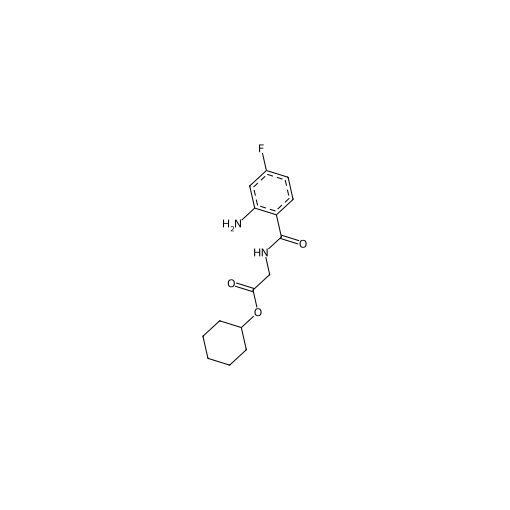 Nc1cc(F)ccc1C(=O)NCC(=O)OC1CCCCC1